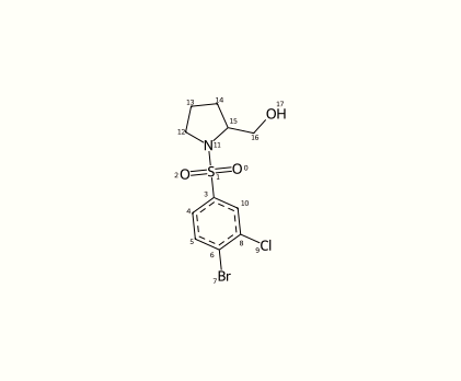 O=S(=O)(c1ccc(Br)c(Cl)c1)N1CCCC1CO